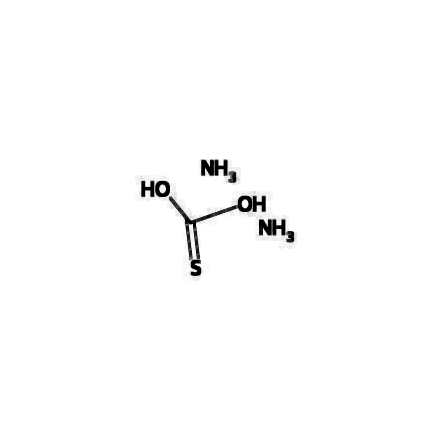 N.N.OC(O)=S